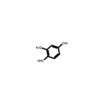 CC(=O)Oc1ccc([C]=O)c(OC(C)=O)c1